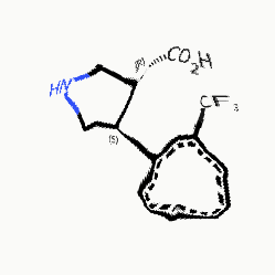 O=C(O)[C@H]1CNC[C@@H]1c1ccccc1C(F)(F)F